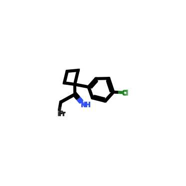 CC(C)CC(=N)C1(c2ccc(Cl)cc2)CCC1